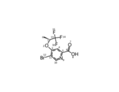 C[C@H](Oc1cc(C(=O)O)ncc1Br)C(F)(F)F